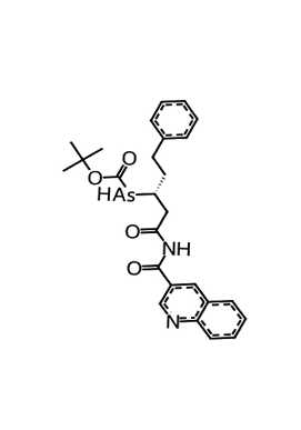 CC(C)(C)OC(=O)[AsH][C@H](CCc1ccccc1)CC(=O)NC(=O)c1cnc2ccccc2c1